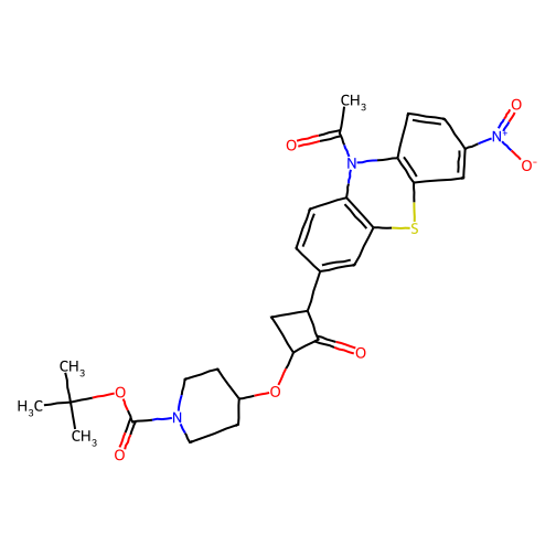 CC(=O)N1c2ccc(C3CC(OC4CCN(C(=O)OC(C)(C)C)CC4)C3=O)cc2Sc2cc([N+](=O)[O-])ccc21